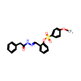 O=C(Cc1ccccc1)N/N=C/c1ccccc1OS(=O)(=O)c1ccc(OC(F)(F)F)cc1